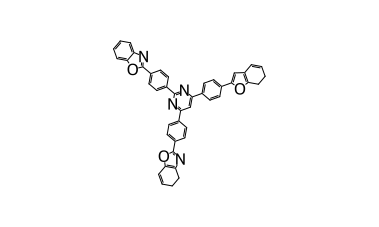 C1=Cc2oc(-c3ccc(-c4cc(-c5ccc(-c6cc7c(o6)CCC=C7)cc5)nc(-c5ccc(-c6nc7ccccc7o6)cc5)n4)cc3)nc2CC1